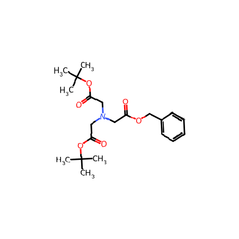 CC(C)(C)OC(=O)CN(CC(=O)OCc1ccccc1)CC(=O)OC(C)(C)C